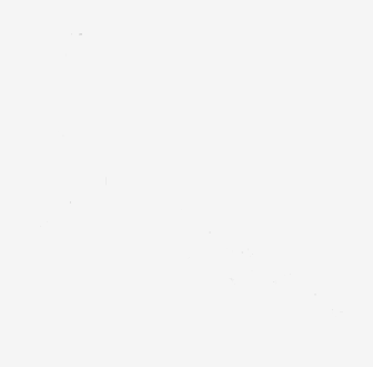 COc1cc2sc(CC3CCC3C(=O)O)cc2c(F)c1OCCCOc1c(OC)cc2sc(C(=O)CC(C)C(=O)O)cc2c1F